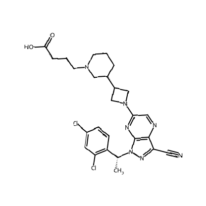 C[C@H](c1ccc(Cl)cc1Cl)n1nc(C#N)c2ncc(N3CC(C4CCCN(CCCC(=O)O)C4)C3)nc21